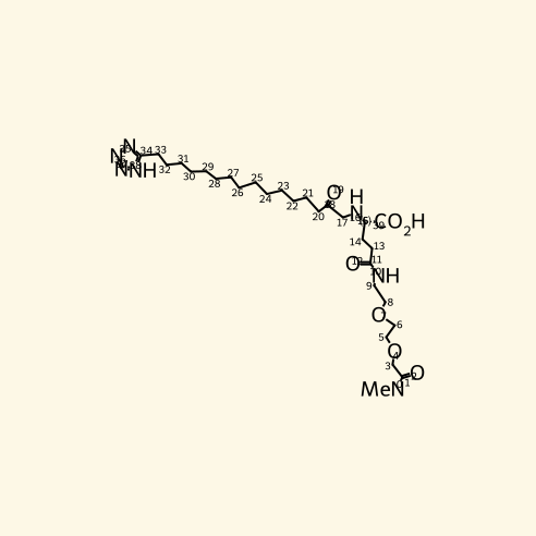 CNC(=O)COCCOCCNC(=O)CC[C@H](NCC(=O)CCCCCCCCCCCCCCc1nnn[nH]1)C(=O)O